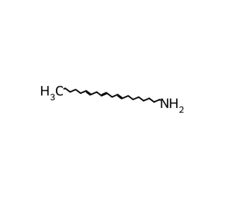 CCCCCC=CCC=CCC=CCCCCCCCN